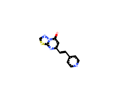 O=c1cc(/C=C/c2ccncc2)nc2scnn12